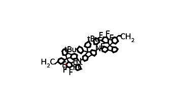 C=Cc1ccc(C2(c3c(F)c(F)c(F)c(F)c3F)c3ccccc3-c3ccc(N(c4ccccc4)c4ccc5c(c4)C(c4ccc(C(C)(C)C)cc4)(c4ccc(C(C)(C)C)cc4)c4cc(N(c6ccccc6)c6ccc7c(c6)C(c6ccc(C=C)cc6)(c6c(F)c(F)c(F)c(F)c6F)c6ccccc6-7)ccc4-5)cc32)cc1